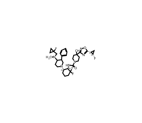 CN(CC1(F)CC1)C1CCN([C@H]2CCCC(F)(F)[C@@H]2NC(=O)N2CCC(C)(c3noc([C@@H]4C[C@@H]4F)n3)CC2)CC1c1ccccc1